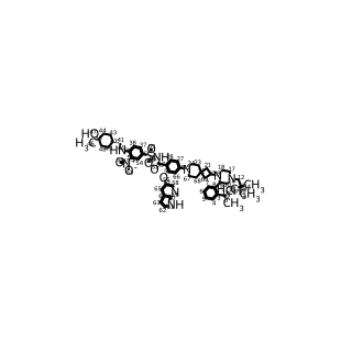 CC(C)c1ccccc1C1CN(CC(C)(C)C)CCN1C1CC2(CCN(c3ccc(C(=O)NS(=O)(=O)c4ccc(NC[C@H]5CC[C@](C)(O)CC5)c([N+](=O)[O-])c4)c(Oc4cnc5[nH]ccc5c4)c3)CC2)C1